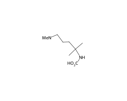 CNCCCC(C)(C)NC(=O)O